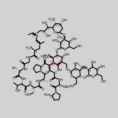 C/C=N\C=C(/C)C[C@H](N)C(=O)NCC(=O)N[C@H](C(=O)N[C@H](C(=O)N[C@@H](CO)C(=O)N[C@@H](C)C(=O)N1CCC[C@H]1C(=O)N[C@@H](CC(=O)O)C(=O)N[C@H](C(=O)N[C@@H](CCCC)C(=O)N1CCC[C@H]1C(C)=O)C(C)O[C@H]1OC(CO[C@@H]2OC(CO)[C@@H](O[C@@H]3OC(CO)[C@H](O)C(O)[C@@H]3O)C(O)[C@@H]2N)[C@H](O)[C@H](O[C@@H]2OC(CO)[C@H](O)C(O[C@]3(C(=O)O)C[C@@H](O)[C@@H](N)C([C@H](O)[C@H](O)CO)O3)[C@@H]2O)C1N)C(C)O)C(C)C